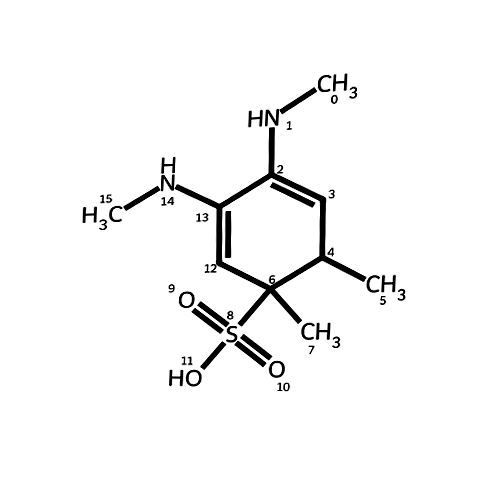 CNC1=CC(C)C(C)(S(=O)(=O)O)C=C1NC